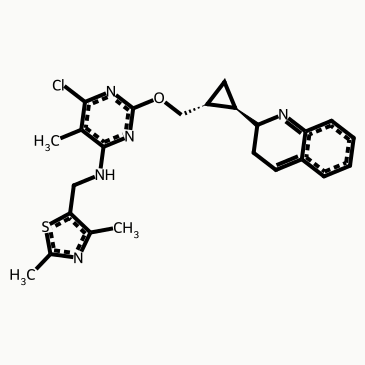 Cc1nc(C)c(CNc2nc(OC[C@@H]3C[C@H]3C3CC=c4ccccc4=N3)nc(Cl)c2C)s1